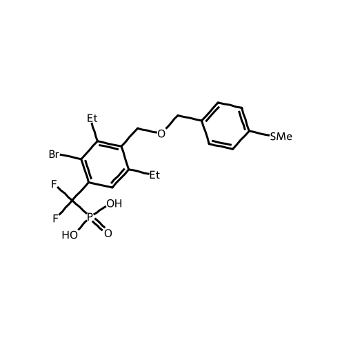 CCc1cc(C(F)(F)P(=O)(O)O)c(Br)c(CC)c1COCc1ccc(SC)cc1